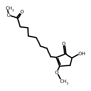 COC(=O)CCCCCCCC1=C(OC)CC(O)C1=O